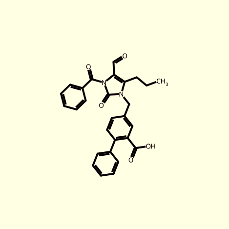 CCCc1c(C=O)n(C(=O)c2ccccc2)c(=O)n1Cc1ccc(-c2ccccc2)c(C(=O)O)c1